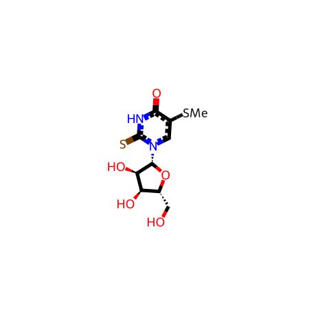 CSc1cn([C@@H]2O[C@H](CO)[C@@H](O)[C@H]2O)c(=S)[nH]c1=O